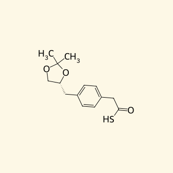 CC1(C)OC[C@@H](Cc2ccc(CC(=O)S)cc2)O1